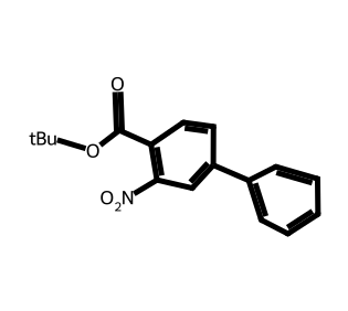 CC(C)(C)OC(=O)c1ccc(-c2ccccc2)cc1[N+](=O)[O-]